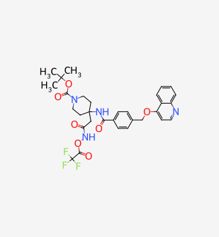 CC(C)(C)OC(=O)N1CCC(CC(=O)NOC(=O)C(F)(F)F)(NC(=O)c2ccc(COc3ccnc4ccccc34)cc2)CC1